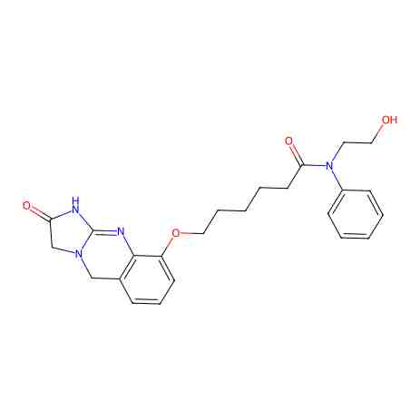 O=C1CN2Cc3cccc(OCCCCCC(=O)N(CCO)c4ccccc4)c3N=C2N1